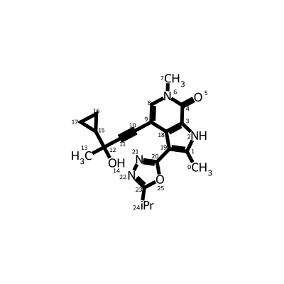 Cc1[nH]c2c(=O)n(C)cc(C#CC(C)(O)C3CC3)c2c1-c1nnc(C(C)C)o1